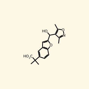 Cc1noc(C)c1C(O)c1cc2cc(C(C)(C)C(=O)O)ccc2o1